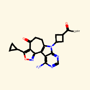 COC(=O)C1CC(n2c3c(c4c(N)ncnc42)-c2noc(C4CC4)c2C(=O)CC3)C1